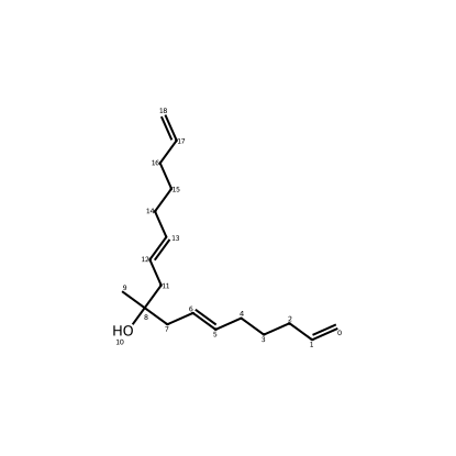 C=CCCCC=CCC(C)(O)CC=CCCCC=C